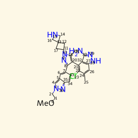 COCCn1cc2cc(-c3nn(C4CC5(CNC5)C4)c(C)c3-c3c(Cl)c(C)cc4[nH]nc(N)c34)ccc2n1